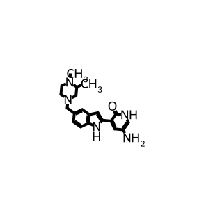 CC1CN(Cc2ccc3[nH]c(-c4cc(N)c[nH]c4=O)cc3c2)CCN1C